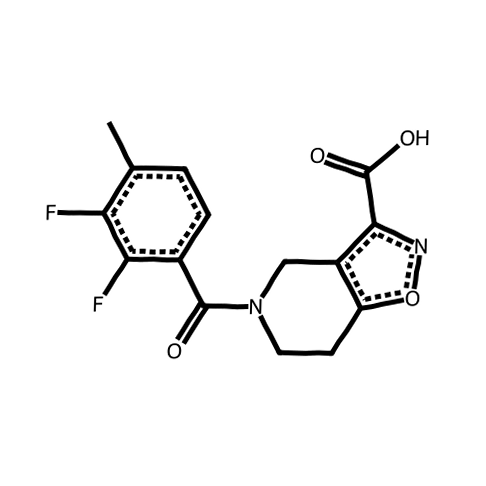 Cc1ccc(C(=O)N2CCc3onc(C(=O)O)c3C2)c(F)c1F